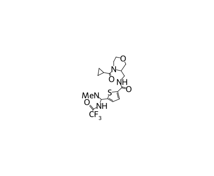 CNC(NC(=O)C(F)(F)F)c1ccc(C(=O)NCC2COCCN2C(=O)C2CC2)s1